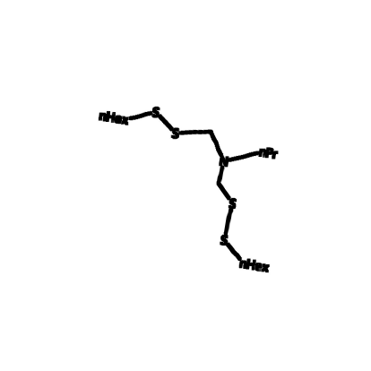 CCCCCCSSCN(CCC)CSSCCCCCC